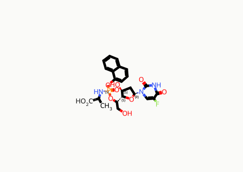 CC(N[P@@](=O)(Oc1cccc2ccccc12)OC(CO)[C@H]1O[C@@H](n2cc(F)c(=O)[nH]c2=O)C[C@@H]1O)C(=O)O